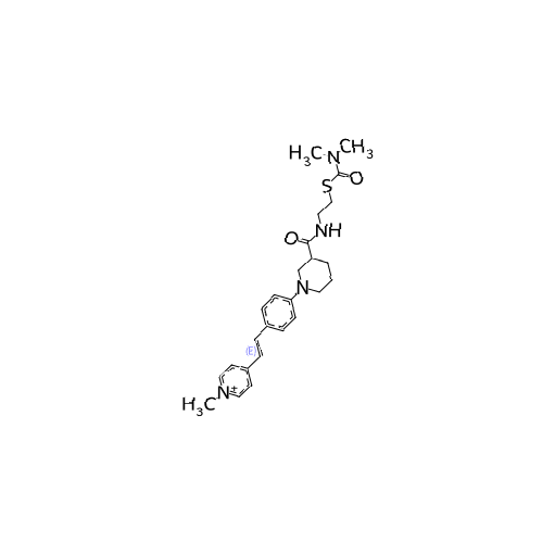 CN(C)C(=O)SCCNC(=O)C1CCCN(c2ccc(/C=C/c3cc[n+](C)cc3)cc2)C1